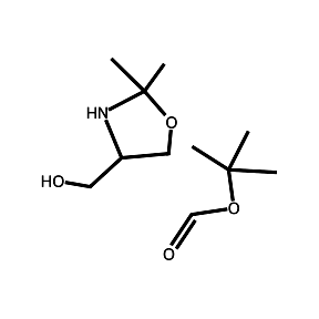 CC(C)(C)OC=O.CC1(C)NC(CO)CO1